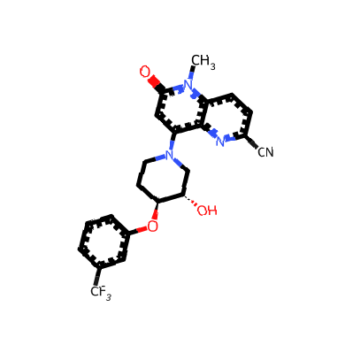 Cn1c(=O)cc(N2CC[C@H](Oc3cccc(C(F)(F)F)c3)[C@@H](O)C2)c2nc(C#N)ccc21